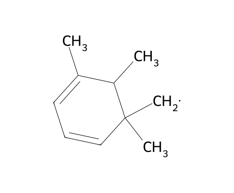 [CH2]C1(C)C=CC=C(C)C1C